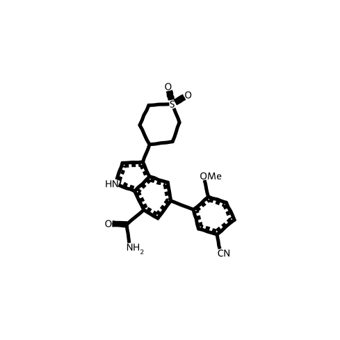 COc1ccc(C#N)cc1-c1cc(C(N)=O)c2[nH]cc(C3CCS(=O)(=O)CC3)c2c1